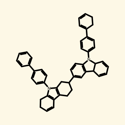 C1=CCCC(c2ccc(N3c4ccc(C5CCc6c7c(n(-c8ccc(-c9ccccc9)cc8)c6C5)CCC=C7)cc4C4C=CC=CC43)cc2)=C1